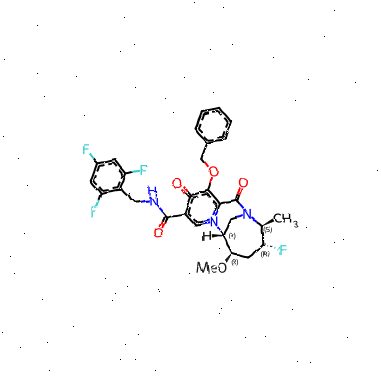 CO[C@@H]1C[C@@H](F)[C@H](C)N2C[C@H]1n1cc(C(=O)NCc3c(F)cc(F)cc3F)c(=O)c(OCc3ccccc3)c1C2=O